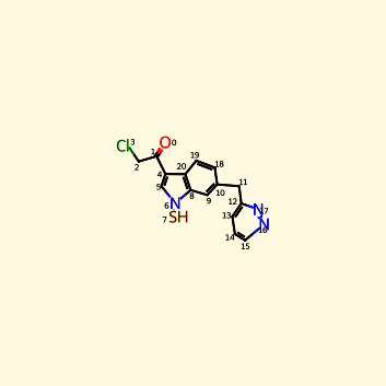 O=C(CCl)c1cn(S)c2cc(Cc3cccnn3)ccc12